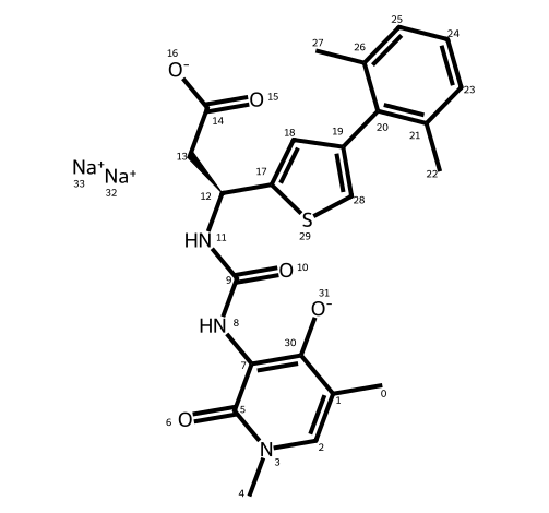 Cc1cn(C)c(=O)c(NC(=O)N[C@@H](CC(=O)[O-])c2cc(-c3c(C)cccc3C)cs2)c1[O-].[Na+].[Na+]